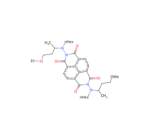 CCCCCCN(C(C)CCOC)N1C(=O)c2ccc3c4c(ccc(c24)C1=O)C(=O)N(N(CCCCCC)C(C)CCOCC)C3=O